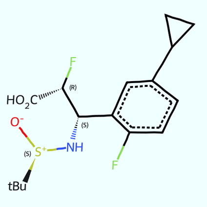 CC(C)(C)[S@@+]([O-])N[C@@H](c1cc(C2CC2)ccc1F)[C@@H](F)C(=O)O